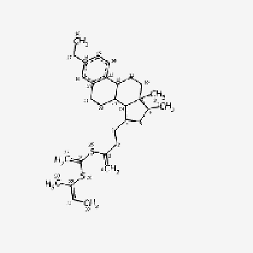 C=C(CCC1CC(C)C2(C)CCC3c4ccc(CC)cc4CCC3C12)SC(=C)S/C(C)=C\C